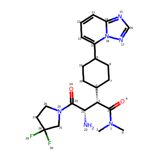 CN(C)C(=O)[C@@H](C1CCC(c2cccc3ncnn23)CC1)[C@H](N)C(=O)N1CCC(F)(F)C1